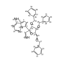 N=CC1(c2ccc3c(N)ncnn23)O[C@H](COCc2ccccc2)[C@@H](OCc2ccccc2)[C@H]1OCc1ccccc1